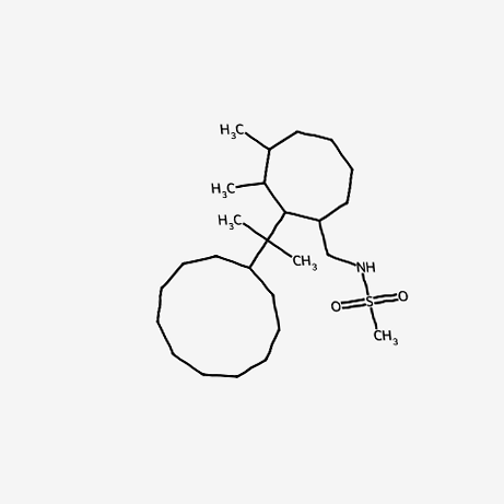 CC1CCCCC(CNS(C)(=O)=O)C(C(C)(C)C2CCCCCCCCCC2)C1C